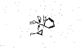 O=S(O)(=S)C1([C@@H]2C[C@H]2F)C=CC=CN1